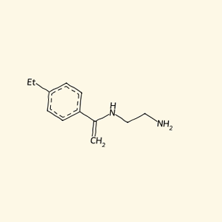 C=C(NCCN)c1ccc(CC)cc1